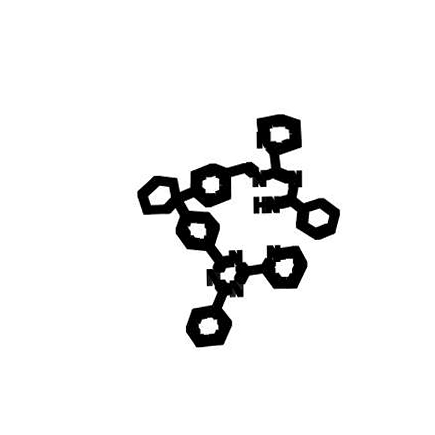 N=C(/N=C(\N=C\c1ccc(C2(c3ccc(-c4nc(-c5ccccc5)nc(-c5ccccn5)n4)cc3)CCCCC2)cc1)c1ccccn1)C1=CC=CCC1